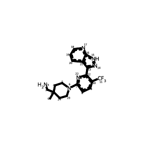 CC1(CN)CCN(c2ccc(C(F)(F)F)c(-c3n[nH]c4ncccc34)n2)CC1